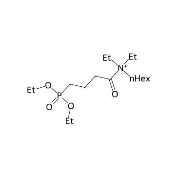 CCCCCC[N+](CC)(CC)C(=O)CCCP(=O)(OCC)OCC